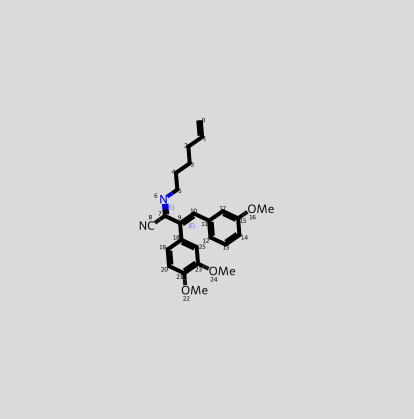 C=CCCCC/N=C(C#N)\C(=C\c1cccc(OC)c1)c1ccc(OC)c(OC)c1